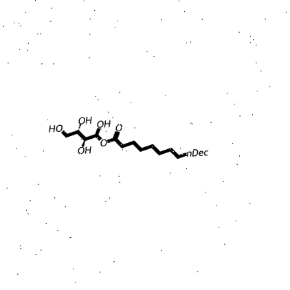 CCCCCCCCCCCCCCCCCC(=O)OC(O)[C@@H](O)[C@@H](O)CO